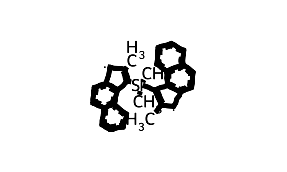 CC1=C([Si](C)(C)C2=C(C)[CH]c3ccc4ccccc4c32)c2c(ccc3ccccc23)[CH]1